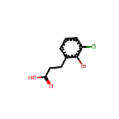 O=C(O)CCc1cccc(Cl)c1Br